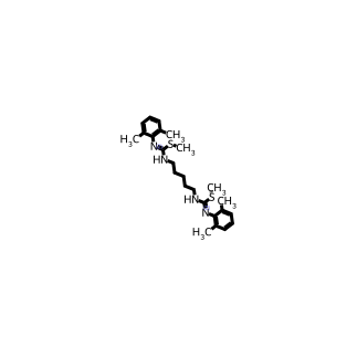 CS/C(=N\c1c(C)cccc1C)NCCCCCN/C(=N/c1c(C)cccc1C)SC